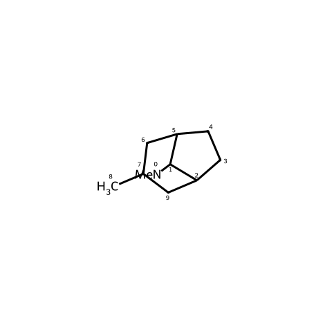 CNC1C2CCC1CC(C)C2